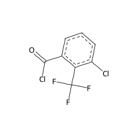 O=C(Cl)c1cccc(Cl)c1C(F)(F)F